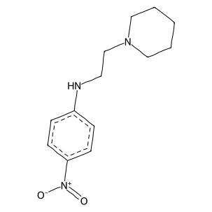 O=[N+]([O-])c1ccc(NCCN2CCCCC2)cc1